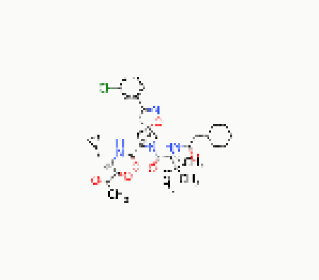 CC(=O)C(=O)[C@H](CC1CC1)NC(=O)[C@@H]1C[C@]2(CC(c3cccc(Cl)c3)=NO2)CN1C(=O)[C@@H](NC(=O)CC1CCCCC1)C(C)(C)C